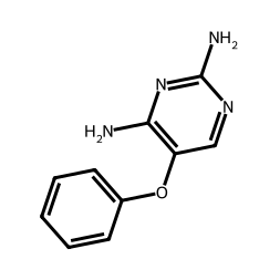 Nc1ncc(Oc2ccccc2)c(N)n1